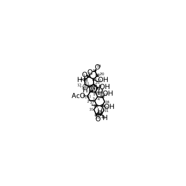 CC(=O)O[C@H]1CC2C([C@@H]3[C@@H](O)[C@]4(N)[C@H]([C@H](C)[C@H]5O[C@]56OC(=O)[C@@](C)(O)[C@@]64C)[C@@]13C)[C@@H](O)C[C@@]1(O)C[C@@H]3O[C@@H]3C[C@]21C